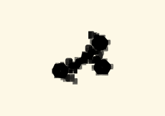 Nc1ccccc1NC(=O)CCCCC(NC(=O)c1ccccc1)C(=O)Nc1cccc(Br)c1